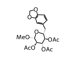 CO[C@@H]1O[C@H](Cc2ccc3c(c2)OCO3)[C@@H](OC(C)=O)[C@H](OC(C)=O)[C@H]1OC(C)=O